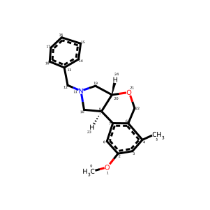 COc1cc(C)c2c(c1)[C@H]1CN(Cc3ccccc3)C[C@@H]1OC2